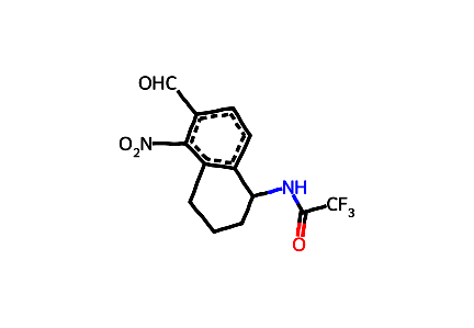 O=Cc1ccc2c(c1[N+](=O)[O-])CCCC2NC(=O)C(F)(F)F